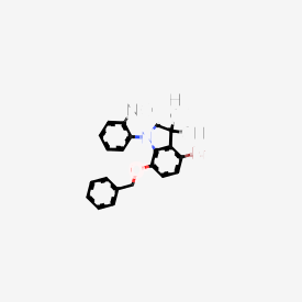 CC1(C)CN(c2ccccc2[N+](=O)[O-])c2c(OCc3ccccc3)ccc(Br)c21